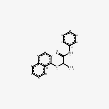 CC(Oc1cccc2ccccc12)C(=O)Nc1ccccc1